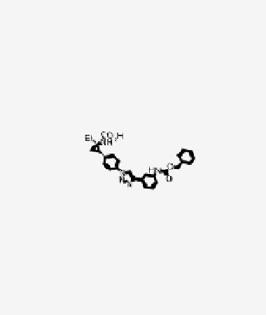 CC[C@@]1(NC(=O)O)C[C@H]1c1ccc(-n2cc(-c3cccc(NC(=O)OCc4ccccc4)c3)nn2)cc1